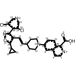 O=C(O)c1nccc2cc(N3CCC(C=Cc4c(-c5c(Cl)cncc5Cl)noc4C4CC4)CC3)ccc12